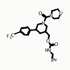 CC(C)CNC(=O)OCC1CC(c2ccc(C(F)(F)F)cc2)CN(C(=O)N2CCOCC2)C1